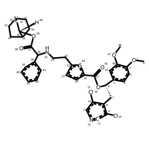 COc1ccc([C@H](Cc2c(Cl)cncc2Cl)OC(=O)c2ccc(CCNC(C(=O)O[C@H]3CN4CCC3CC4)c3ccccc3)s2)cc1OC